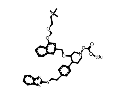 CC(C)(C)OC(=O)ON1CCC(c2ccc(CCSc3nc4ccccc4s3)cc2)C(OCc2cc(OCOCC[Si](C)(C)C)c3ccccc3c2)C1